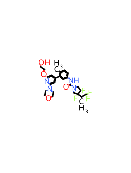 Cc1ccc(NC(=O)N2CCC(F)(C(C)C(F)(F)F)C2)cc1-c1cc(OCCO)nc(N2CCOCC2)c1